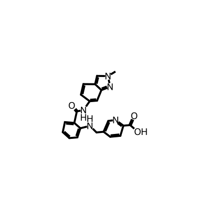 Cn1cc2ccc(NC(=O)c3ccccc3NCc3ccc(C(=O)O)nc3)cc2n1